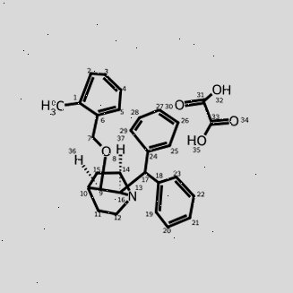 Cc1ccccc1CO[C@@H]1C2CCN(CC2)[C@@H]1C(c1ccccc1)c1ccccc1.O=C(O)C(=O)O